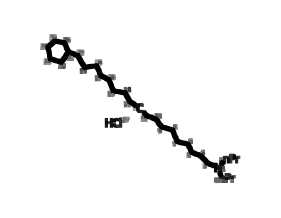 CCCN(CCC)CCCCCCCCCCCCCCCCCCC1CCCCC1.Cl